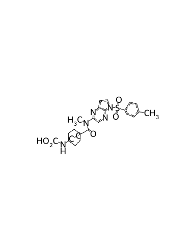 Cc1ccc(S(=O)(=O)n2ccc3nc(N(C)C(=O)C45CCC(NC(=O)O)(CC4)CC5)cnc32)cc1